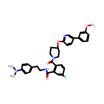 CN(C)c1ccc(CCNC(=O)c2cc(F)ccc2C(=O)N2CCC(Oc3ccc(-c4cccc(OC(F)(F)F)c4)cn3)CC2)cc1